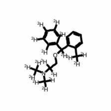 [2H]c1c([2H])c([2H])c(C([2H])(OCC([2H])([2H])N(C([2H])([2H])[2H])C([2H])([2H])[2H])c2ccccc2C([2H])([2H])[2H])c([2H])c1[2H]